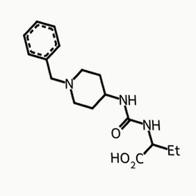 CCC(NC(=O)NC1CCN(Cc2ccccc2)CC1)C(=O)O